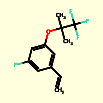 C=Cc1cc(F)cc(OC(C)(C)C(F)(F)F)c1